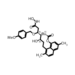 CC[C@H](C)C(=O)Oc1cc(C)cc2ccc(C)c(CC[C@@H](O)C[C@H](CC(=O)NO)OCc3ccc(OC)cc3)c12